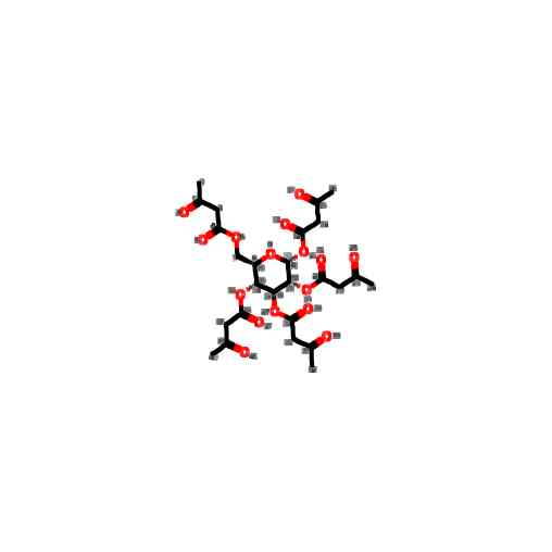 CC(=O)CC(=O)OC[C@H]1O[C@H](OC(=O)CC(C)=O)[C@H](OC(=O)CC(C)=O)[C@@H](OC(=O)CC(C)=O)[C@@H]1OC(=O)CC(C)=O